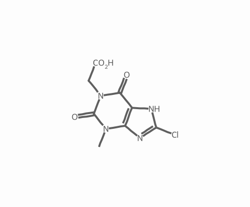 Cn1c(=O)n(CC(=O)O)c(=O)c2[nH]c(Cl)nc21